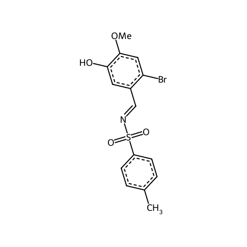 COc1cc(Br)c(C=NS(=O)(=O)c2ccc(C)cc2)cc1O